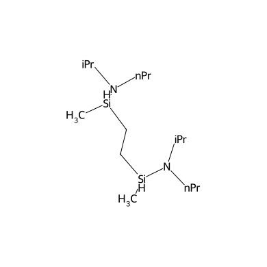 CCCN(C(C)C)[SiH](C)CC[SiH](C)N(CCC)C(C)C